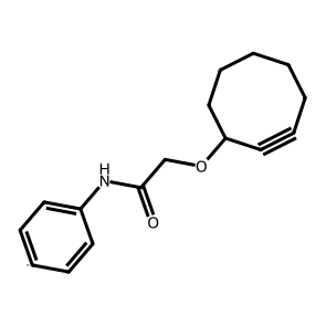 O=C(COC1C#CCCCCC1)Nc1cc[c]cc1